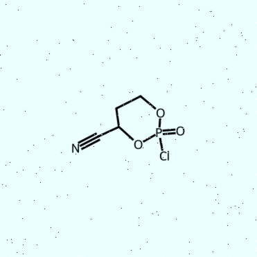 N#CC1CCOP(=O)(Cl)O1